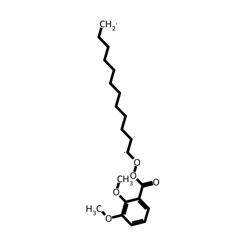 [CH2]CCCCCCCCCC[CH]OOC(=O)c1cccc(OC)c1OC